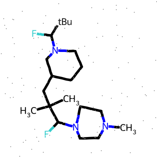 CN1CCN(C(F)C(C)(C)CC2CCCN(C(F)C(C)(C)C)C2)CC1